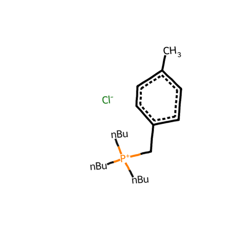 CCCC[P+](CCCC)(CCCC)Cc1ccc(C)cc1.[Cl-]